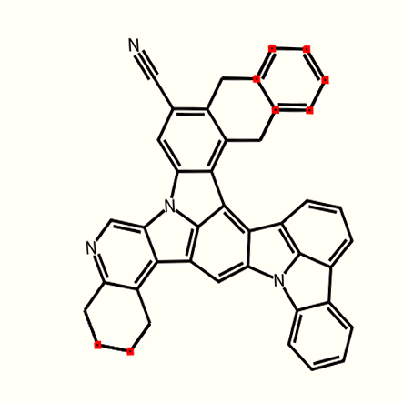 N#Cc1cc2c(c3c1C1c4ccccc4C3c3ccccc31)c1c3c4cccc5c6ccccc6n(c3cc3c6c7c(ncc6n2c31)C1CCC7CC1)c54